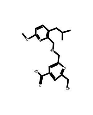 COc1ccc(CC(C)C)c(CNCc2cc(C(=O)O)cc(CO)n2)n1